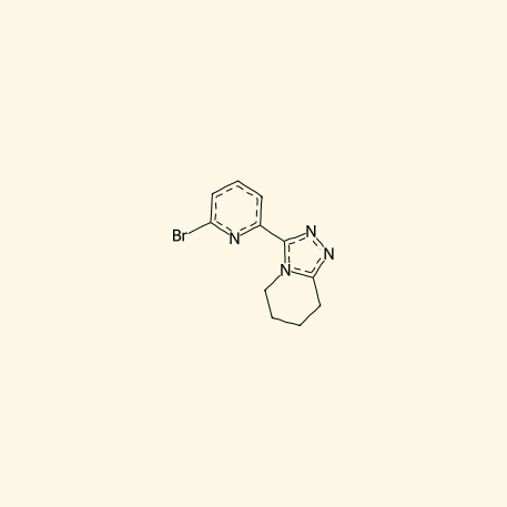 Brc1cccc(-c2nnc3n2CCCC3)n1